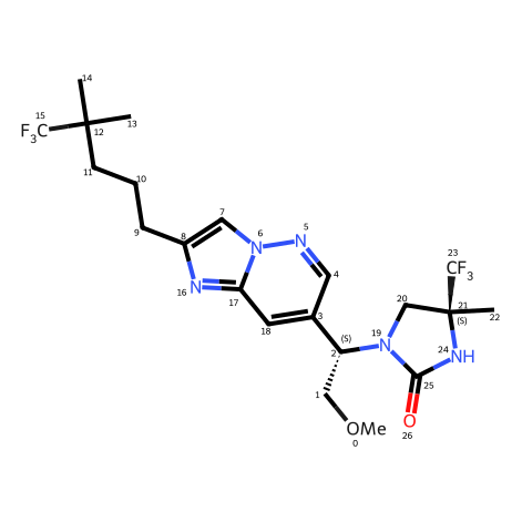 COC[C@H](c1cnn2cc(CCCC(C)(C)C(F)(F)F)nc2c1)N1C[C@@](C)(C(F)(F)F)NC1=O